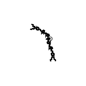 CCCCN(CCCC)c1ccc(/C=C/c2ccc(/C=C/c3ccc(C4=C(C)/C(=C5\CCC(/C=C/c6ccc(/C=C/c7ccc(N(CCCC)CCCC)cc7)n6C)N5C)C4=O)n3C)n2C)cc1